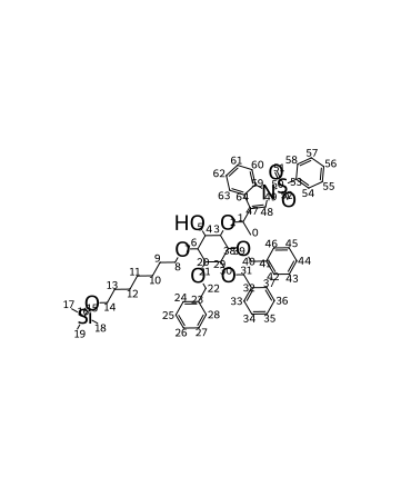 CC(OC1C(O)C(OCCCCCCCO[Si](C)(C)C)C(OCc2ccccc2)C(OCc2ccccc2)C1OCc1ccccc1)c1cn(S(=O)(=O)c2ccccc2)c2ccccc12